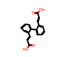 O=C(O)C=Cc1ccccc1-c1ccccc1C=CC(=O)O